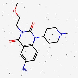 COCCn1c(=O)c2cc(N)ccc2n(C2CCN(C)CC2)c1=O